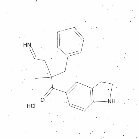 CC(CC=N)(Cc1ccccc1)C(=O)c1ccc2c(c1)CCN2.Cl